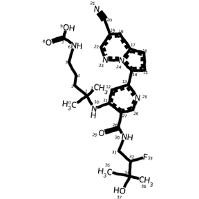 CC(C)(CCCNC(=O)O)Nc1cc(-c2ccc3cc(C#N)cnn23)ncc1C(=O)NCC(F)C(C)(C)O